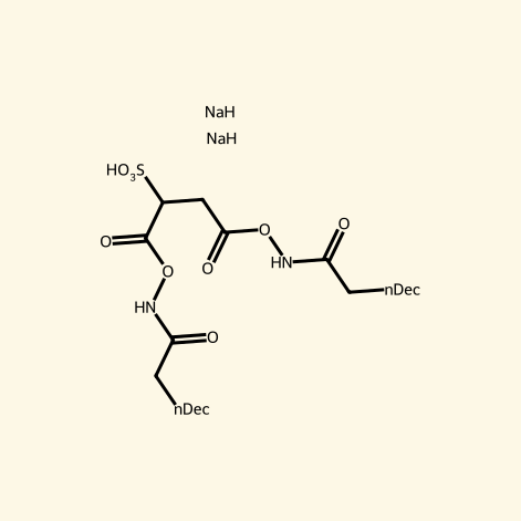 CCCCCCCCCCCC(=O)NOC(=O)CC(C(=O)ONC(=O)CCCCCCCCCCC)S(=O)(=O)O.[NaH].[NaH]